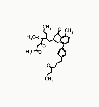 CCCC(=O)CCCc1ccc(-c2ccc(C)c3c2CC(CC(CCC)C(CC)C(=O)CC(C)=O)CC3=O)cc1